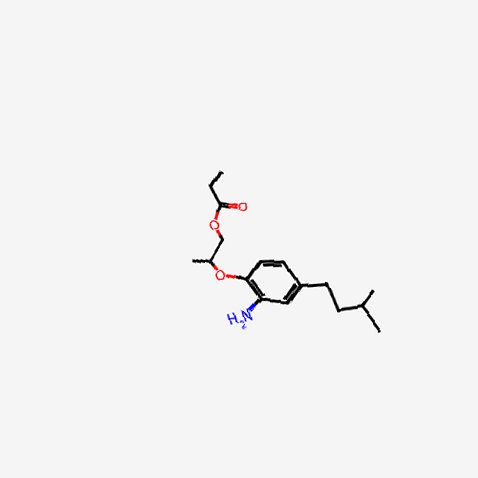 CCC(=O)OCC(C)Oc1ccc(CCC(C)C)cc1N